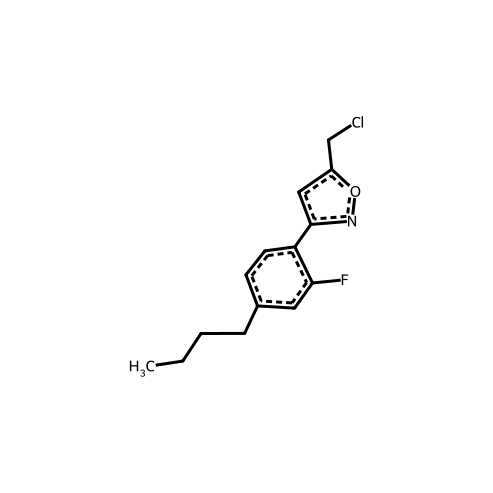 CCCCc1ccc(-c2cc(CCl)on2)c(F)c1